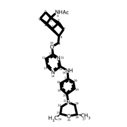 CC(=O)NC12C3C4C1C1C2C3C41COc1ccnc(Nc2ccc(N3C[C@@H](C)O[C@@H](C)C3)cc2)n1